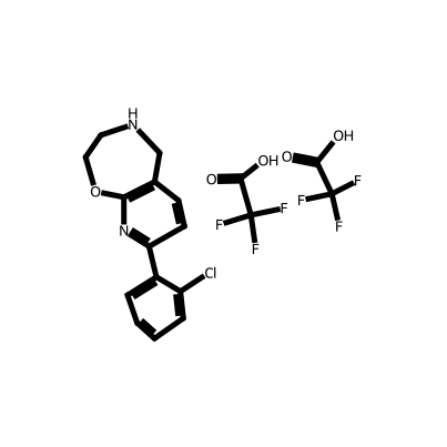 Clc1ccccc1-c1ccc2c(n1)OCCNC2.O=C(O)C(F)(F)F.O=C(O)C(F)(F)F